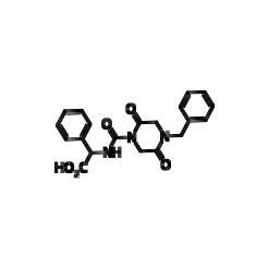 O=C(O)C(NC(=O)N1CC(=O)N(Cc2ccccc2)CC1=O)c1ccccc1